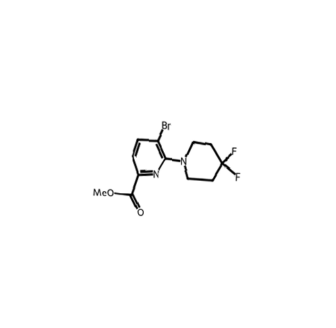 COC(=O)c1ccc(Br)c(N2CCC(F)(F)CC2)n1